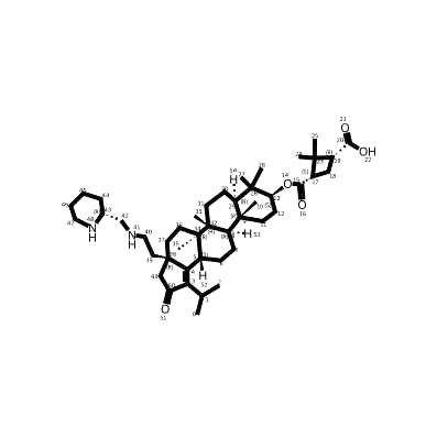 CC(C)C1=C2[C@H]3CC[C@@H]4[C@@]5(C)CC[C@H](OC(=O)[C@H]6C[C@@H](C(=O)O)C6(C)C)C(C)(C)[C@@H]5CC[C@@]4(C)[C@]3(C)CC[C@@]2(CCNC[C@H]2CCCCN2)CC1=O